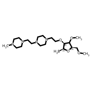 B[C@@H]1O[C@H](COC)C(OC)[C@@H]1OCCN1CCN(CCN2CCN(C)CC2)CC1